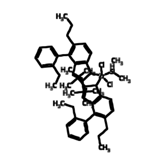 CCCc1ccc2c(c1-c1ccccc1CC)C=C(C(C)(C)C)[CH]2[Zr]([Cl])([Cl])([CH]1C(C(C)(C)C)=Cc2c1ccc(CCC)c2-c1ccccc1CC)[SiH](C)C